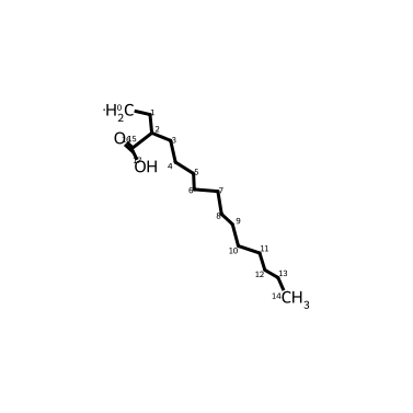 [CH2]CC(CCCCCCCCCCCC)C(=O)O